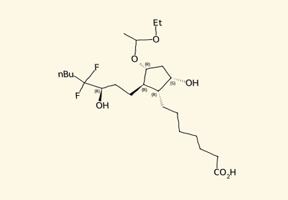 CCCCC(F)(F)[C@H](O)CC[C@@H]1[C@@H](CCCCCCC(=O)O)[C@@H](O)C[C@H]1OC(C)OCC